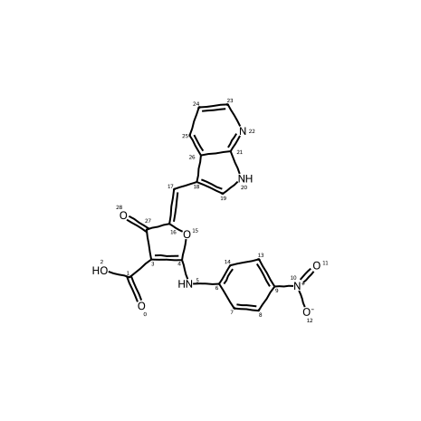 O=C(O)C1=C(Nc2ccc([N+](=O)[O-])cc2)O/C(=C\c2c[nH]c3ncccc23)C1=O